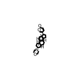 C[C@]12CCC(N3CCOCC3)C[C@H]1CC[C@@H]1[C@@H]2CC[C@]2(C)[C@@H](c3ccc(=O)oc3)CCC12O